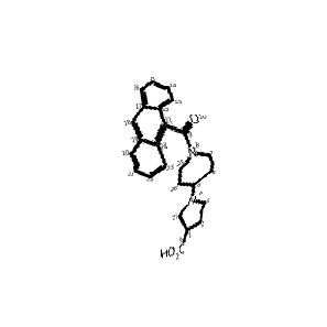 O=C(O)C1CCN(C2CCN(C(=O)c3c4ccccc4cc4ccccc34)CC2)C1